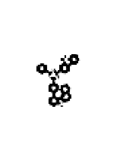 C[Si]1(C)c2ccccc2-c2ccc(-c3nc(-c4ccccc4)nc(-c4ccc(-c5cccc6oc7ccc8ccccc8c7c56)cc4)n3)cc21